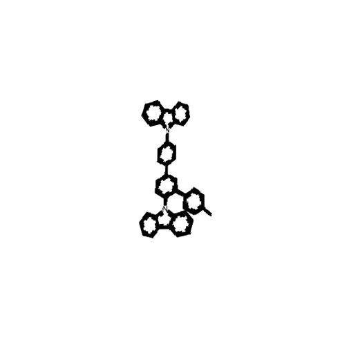 Cc1ccc(-c2cc(-c3ccc(-n4c5ccccc5c5ccccc54)cc3)ccc2-n2c3ccccc3c3ccccc32)cc1